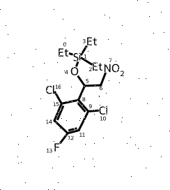 CC[Si](CC)(CC)OC(C[N+](=O)[O-])c1c(Cl)cc(F)cc1Cl